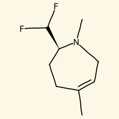 CC1=CCN(C)[C@H](C(F)F)CC1